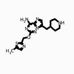 Cc1cnc(COc2nc(N)c3ncc(CC4CCNCC4)n3n2)s1